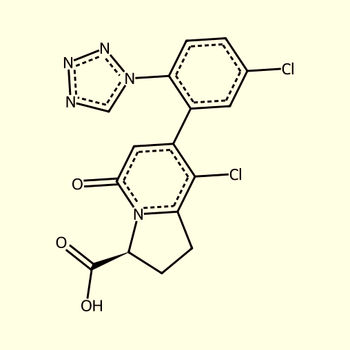 O=C(O)[C@@H]1CCc2c(Cl)c(-c3cc(Cl)ccc3-n3cnnn3)cc(=O)n21